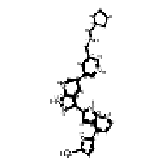 Cc1ccc(-c2ccnc3[nH]c(-c4n[nH]c5ncc(-c6cncc(CNCC7CCCC7)c6)cc45)cc23)s1